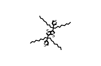 CCCCCCCCC(CCCCCCCC)(c1ccsc1)c1csc2c(C(CCCCCCCC)(CCCCCCCC)c3ccsc3)csc12